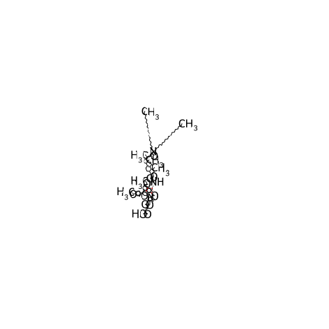 CCCCCCCCCCCCCCCCCCN(CCCCCCCCCCCCCCCCCC)C(=O)CCC(C)C1CCC2C3CCC4CC(OC(=O)NCCCCCC(=O)N5CC(OC(=O)CCC(=O)O)CC5C(OC(c5ccc(OC)cc5)c5ccc(OC)cc5)c5ccccc5)CC(C)C4C3CCC12C